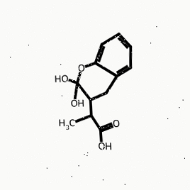 CC(C(=O)O)C1Cc2ccccc2OC1(O)O